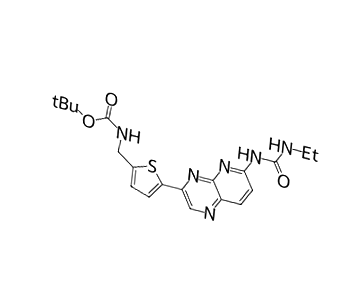 CCNC(=O)Nc1ccc2ncc(-c3ccc(CNC(=O)OC(C)(C)C)s3)nc2n1